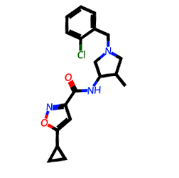 CC1CN(Cc2ccccc2Cl)CC1NC(=O)c1cc(C2CC2)on1